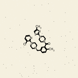 Cc1csc(N2CCN(C(=O)c3cc(CN4CCN(c5ncccc5Cl)CC4)ccc3C)CC2)n1